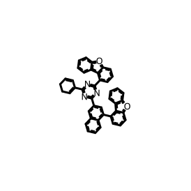 C1=CC(c2nc(-c3cc(-c4cccc5oc6ccccc6c45)c4ccccc4c3)nc(-c3cccc4oc5ccccc5c34)n2)=CCC1